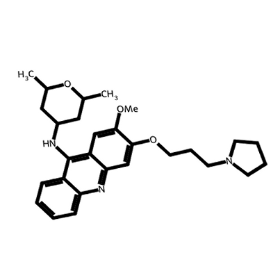 COc1cc2c(NC3CC(C)OC(C)C3)c3ccccc3nc2cc1OCCCN1CCCC1